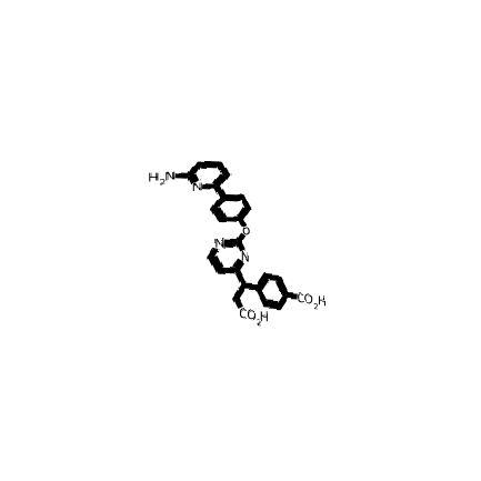 Nc1cccc(-c2ccc(Oc3nccc(C(CC(=O)O)c4ccc(C(=O)O)cc4)n3)cc2)n1